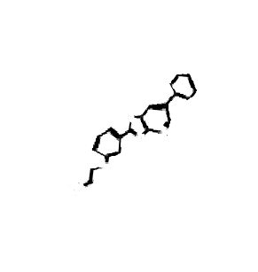 CCCOc1cccc(-c2nc3ncc(-c4ccccc4)cc3[nH]2)c1